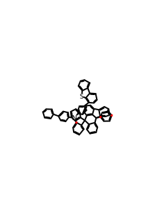 c1ccc(-c2ccc(N(c3ccc(-c4cccc5c4sc4ccccc45)cc3)c3ccccc3C3(c4ccccc4)c4ccccc4C4(c5ccccc5)c5ccccc5-c5cccc3c54)cc2)cc1